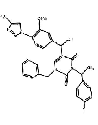 COc1cc(C(O)c2cn(Cc3ccccc3)c(=O)n(C(C)c3ccc(F)cc3)c2=O)ccc1-n1cnc(C)c1